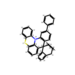 c1ccc(-c2ccc3c(c2)N2c4ccccc4Sc4cccc(c42)C32c3ccccc3Cc3ccccc32)cc1